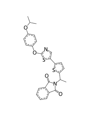 CC(C)Oc1ccc(Oc2ncc(-c3ccc(C(C)N4C(=O)c5ccccc5C4=O)s3)s2)cc1